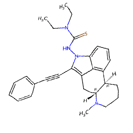 CCN(CC)C(=S)Nn1c(C#Cc2ccccc2)c2c3c(cccc31)[C@H]1CCCN(C)[C@@H]1C2